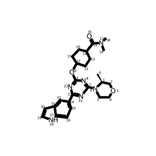 C[C@H]1COCCN1c1nc(OC2CCC(C(=O)N(C)C)CC2)nc(-c2ccc3[nH]ccc3c2)n1